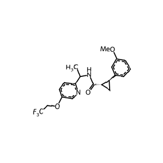 COc1cccc([C@H]2C[C@@H]2C(=O)NC(C)c2ccc(OCC(F)(F)F)cn2)c1